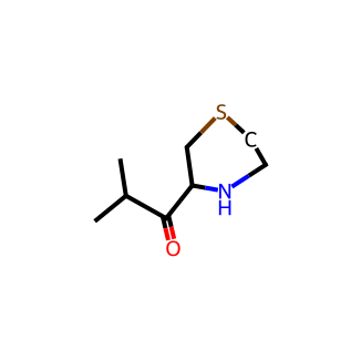 CC(C)C(=O)C1CSCCN1